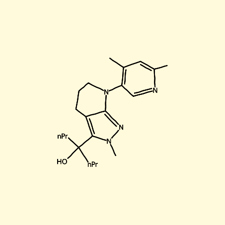 CCCC(O)(CCC)c1c2c(nn1C)N(c1cnc(C)cc1C)CCC2